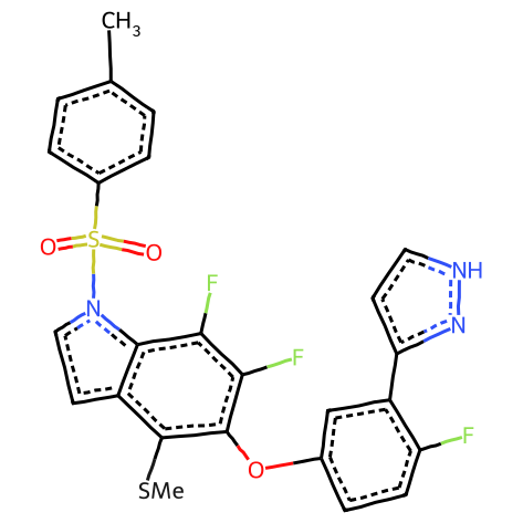 CSc1c(Oc2ccc(F)c(-c3cc[nH]n3)c2)c(F)c(F)c2c1ccn2S(=O)(=O)c1ccc(C)cc1